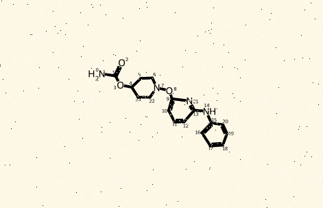 NC(=O)OC1CCN(Oc2cccc(Nc3ccccc3)n2)CC1